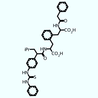 CC(C)CC(C(=O)NC(Cc1ccccc1CC(NC(=O)Cc1ccccc1)C(=O)O)C(=O)O)c1ccc(NC(=S)Nc2ccccc2)cc1